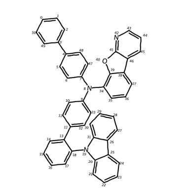 c1ccc(-c2ccc(N(c3ccc(-c4ccccc4-n4c5ccccc5c5ccccc54)cc3)c3cccc4c3oc3ncccc34)cc2)cc1